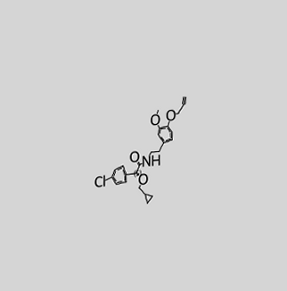 C#CCOc1ccc(CCNC(=O)[C@@H](OCC2CC2)c2ccc(Cl)cc2)cc1OC